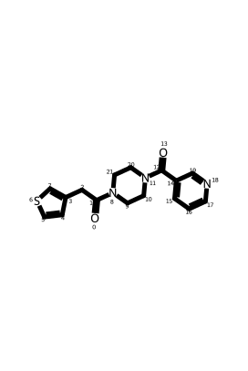 O=C(Cc1ccsc1)N1CCN(C(=O)c2cccnc2)CC1